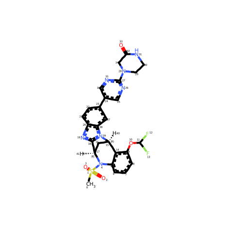 CS(=O)(=O)N1c2cccc(OC(F)F)c2[C@H]2C[C@@H]1c1nc3ccc(-c4cnc(N5CCNC(=O)C5)nc4)cc3n12